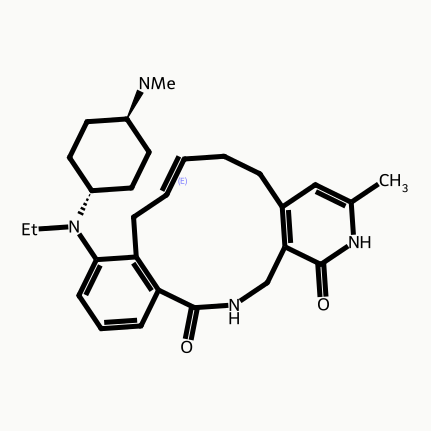 CCN(c1cccc2c1C/C=C/CCc1cc(C)[nH]c(=O)c1CNC2=O)[C@H]1CC[C@H](NC)CC1